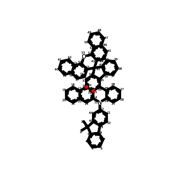 CC1(C)c2ccccc2-c2ccc(N(c3ccc4ccccc4c3)c3ccccc3-c3cccc4c3-c3ccccc3C43c4ccc5ccccc5c4Oc4c3ccc3ccccc43)cc21